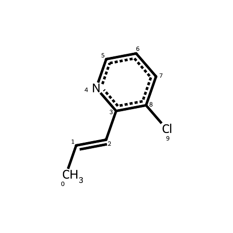 C/C=C/c1ncccc1Cl